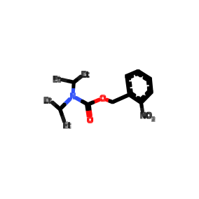 CCC(CC)N(C(=O)OCc1ccccc1[N+](=O)[O-])C(CC)CC